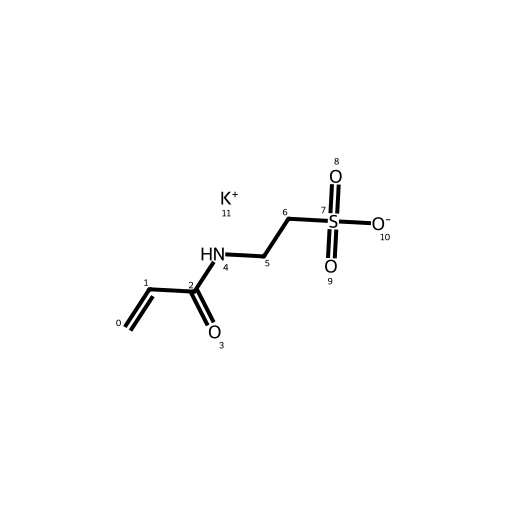 C=CC(=O)NCCS(=O)(=O)[O-].[K+]